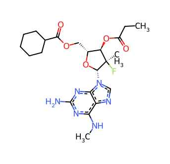 CCC(=O)O[C@@H]1[C@@H](COC(=O)C2CCCCC2)O[C@@H](n2cnc3c(NC)nc(N)nc32)[C@]1(C)F